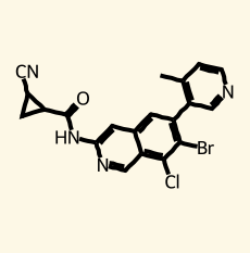 Cc1ccncc1-c1cc2cc(NC(=O)C3CC3C#N)ncc2c(Cl)c1Br